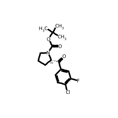 CC(C)(C)OC(=O)N1CCC[C@H]1C(=O)c1ccc(Cl)c(F)c1